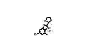 Cc1cc(Br)cc2nc([C@]3(C)CCCN3)[nH]c12.Cl